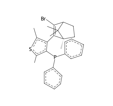 Cc1sc(C)c(P(c2ccccc2)c2ccccc2)c1C1=C(Br)C2CC[C@]1(C)C2(C)C